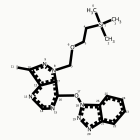 C[Si](C)(C)CCOCn1nc(I)c2ncnc(On3nnc4ccccc43)c21